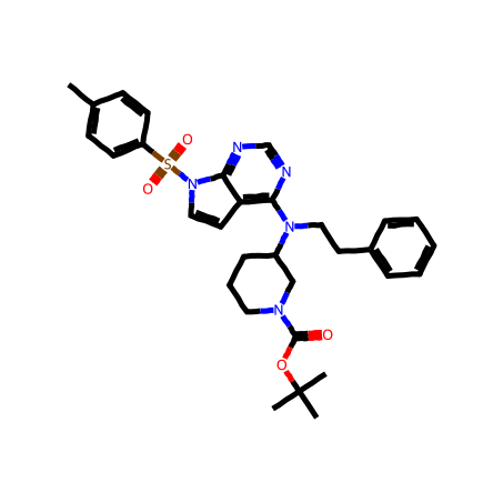 Cc1ccc(S(=O)(=O)n2ccc3c(N(CCc4ccccc4)C4CCCN(C(=O)OC(C)(C)C)C4)ncnc32)cc1